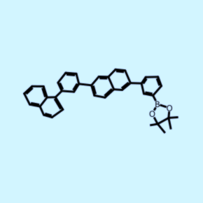 CC1(C)OB(c2cccc(-c3ccc4cc(-c5cccc(-c6cccc7ccccc67)c5)ccc4c3)c2)OC1(C)C